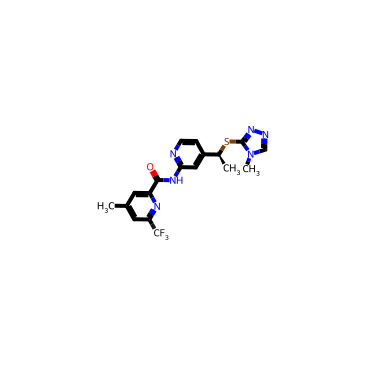 Cc1cc(C(=O)Nc2cc([C@H](C)Sc3nncn3C)ccn2)nc(C(F)(F)F)c1